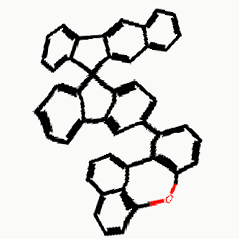 c1ccc2c(c1)-c1cc(-c3cccc4c3-c3cccc5cccc(c35)O4)ccc1C21c2ccccc2-c2cc3ccccc3cc21